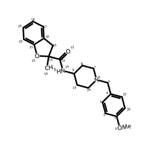 COc1ccc(CN2CCC(NC(=O)C3(C)Cc4ccccc4O3)CC2)cc1